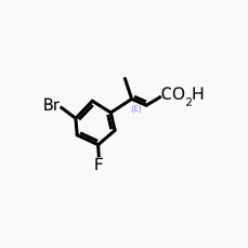 C/C(=C\C(=O)O)c1cc(F)cc(Br)c1